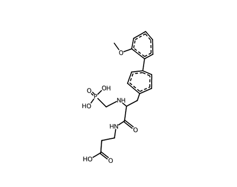 COc1ccccc1-c1ccc(CC(NCP(=O)(O)O)C(=O)NCCC(=O)O)cc1